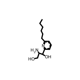 CCCCCCc1cccc(C(O)C(N)CO)n1